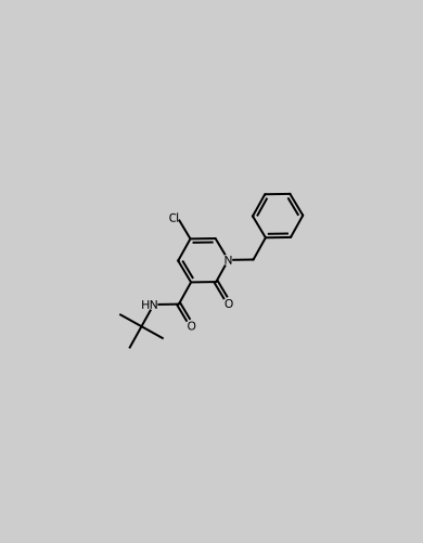 CC(C)(C)NC(=O)c1cc(Cl)cn(Cc2ccccc2)c1=O